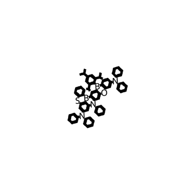 CC(C)c1cc(C(C)C)c(B2c3ccc(N(c4ccccc4)c4ccccc4)cc3Oc3cc4c(cc32)B2c3ccccc3Sc3cc(N(c5ccccc5)c5ccccc5)cc(c32)N4c2ccccc2)c(C(C)C)c1